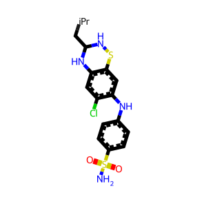 CC(C)CC1NSc2cc(Nc3ccc(S(N)(=O)=O)cc3)c(Cl)cc2N1